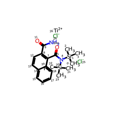 C[Si](C)(C)N(C(=O)c1c(C(N)=O)ccc2ccccc12)[Si](C)(C)C.[Cl-].[Cl-].[Ti+2]